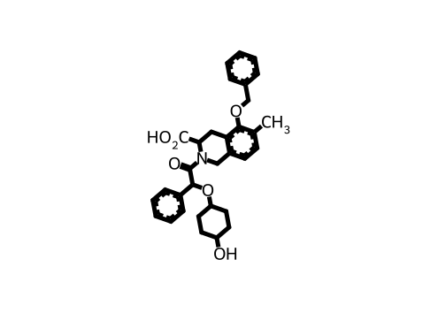 Cc1ccc2c(c1OCc1ccccc1)CC(C(=O)O)N(C(=O)C(OC1CCC(O)CC1)c1ccccc1)C2